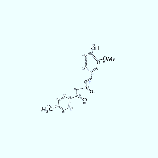 COc1cc(/C=C/C(=O)CC(=O)c2ccc(C)cc2)ccc1O